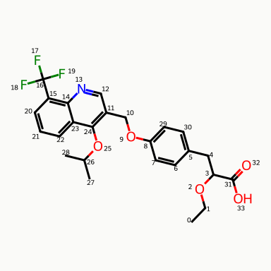 CCOC(Cc1ccc(OCc2cnc3c(C(F)(F)F)cccc3c2OC(C)C)cc1)C(=O)O